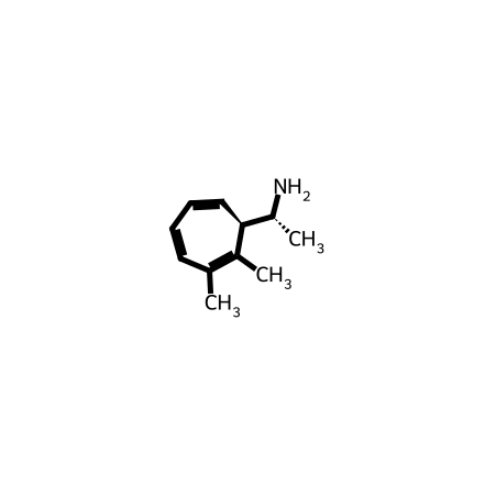 CC1=C(C)[C@H]([C@@H](C)N)C=CC=C1